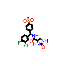 CS(=O)(=O)c1ccc([C@@H](NC(=O)C2CNC(=O)N2)c2ccc(F)c(Cl)c2)cc1